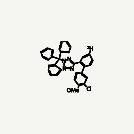 [2H]c1ccc(-c2ccc(OC)c(Cl)c2)c(-c2nnn(C(c3ccccc3)(c3ccccc3)c3ccccc3)n2)c1